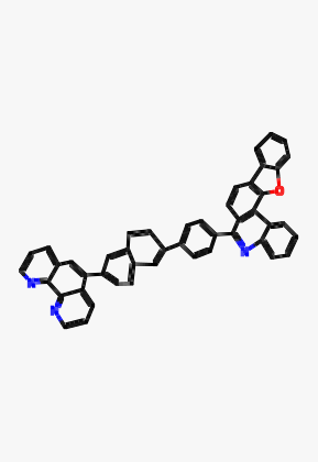 c1cnc2c(c1)cc(-c1ccc3cc(-c4ccc(-c5nc6ccccc6c6c5ccc5c7ccccc7oc56)cc4)ccc3c1)c1cccnc12